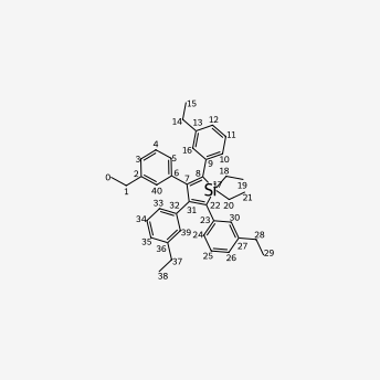 CCc1cccc(C2=C(c3cccc(CC)c3)[Si](CC)(CC)C(c3cccc(CC)c3)=C2c2cccc(CC)c2)c1